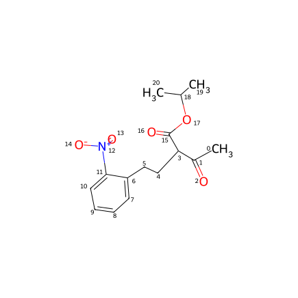 CC(=O)C(CCc1ccccc1[N+](=O)[O-])C(=O)OC(C)C